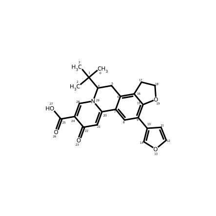 CC(C)(C)C1Cc2c(cc(-c3ccoc3)c3c2CCO3)-c2cc(=O)c(C(=O)O)cn21